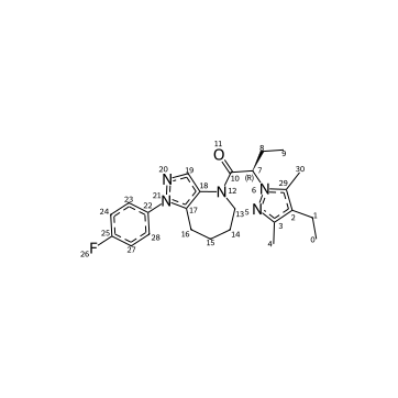 CCc1c(C)nn([C@H](CC)C(=O)N2CCCCc3c2cnn3-c2ccc(F)cc2)c1C